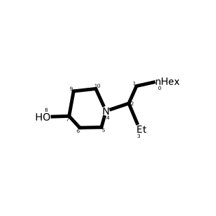 CCCCCCCC(CC)N1CCC(O)CC1